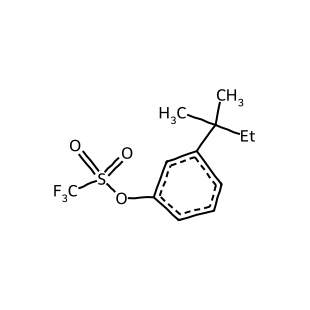 CCC(C)(C)c1cccc(OS(=O)(=O)C(F)(F)F)c1